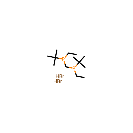 Br.Br.CCP(CP(CC)C(C)(C)C)C(C)(C)C